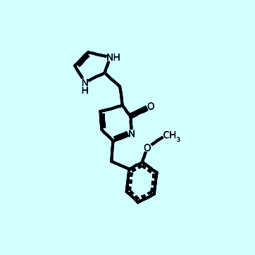 COc1ccccc1CC1=NC(=O)C(CC2NC=CN2)C=C1